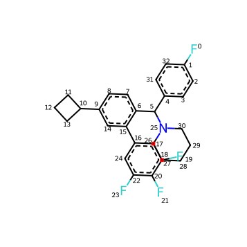 Fc1ccc(C(c2ccc(C3CCC3)cc2-c2cc(F)c(F)c(F)c2)N2CCCCC2)cc1